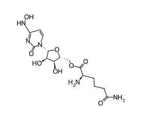 NC(=O)CCC[C@@H](N)C(=O)OC[C@H]1O[C@@H](n2ccc(NO)nc2=O)[C@H](O)[C@@H]1O